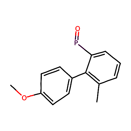 COc1ccc(-c2c(C)cccc2P=O)cc1